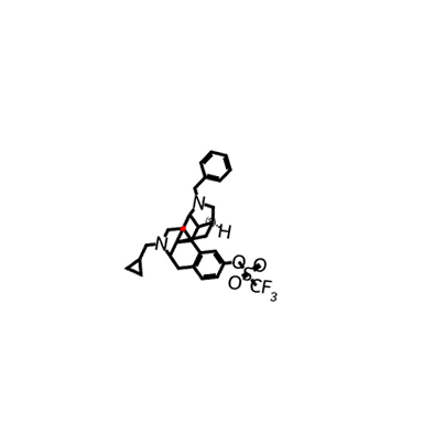 O=S(=O)(Oc1ccc2c(c1)C13CCN(CC4CC4)C(C2)C12CCC1C3[C@@H](CN1Cc1ccccc1)C2)C(F)(F)F